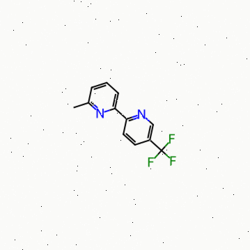 Cc1cccc(-c2ccc(C(F)(F)F)cn2)n1